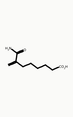 C=C(CCCCCC(=O)O)C(N)=O